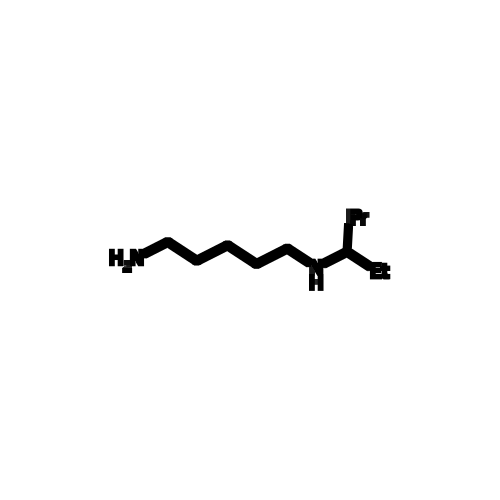 CCC(NCCCCCN)C(C)C